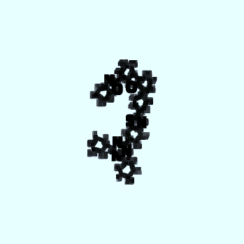 c1ccc(-c2nc(-c3ccccc3)nc(-c3ccc4nc(-c5ccc(-c6cccc7c6oc6c(-c8nc9ccccc9o8)cccc67)cc5)sc4c3)n2)cc1